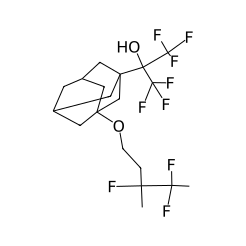 CC(F)(F)C(C)(F)CCOC12CC3CC(C1)CC(C(O)(C(F)(F)F)C(F)(F)F)(C3)C2